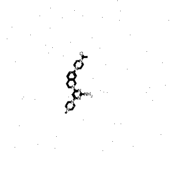 CC(=O)N1CCN(c2ccc3c(c2)CN(c2cc(N4CCN(C)CC4)nc(N)n2)CC3)CC1